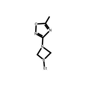 CCB1CN(c2noc(C)n2)C1